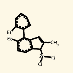 CCc1ccccc1-c1c(CC)ccc2c1C=C(C)[CH]2[Zr]([Cl])[Cl]